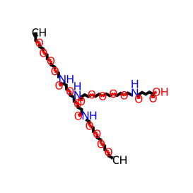 C#CCOCCOCCOCCOCCNC(=O)CCOCC(COCCC(=O)NCCOCCOCCOCCOCC#C)NC(=O)CCOCCOCCOCCOCCNC(=O)CCCC(=O)O